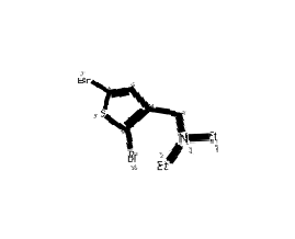 CCN(CC)Cc1cc(Br)sc1Br